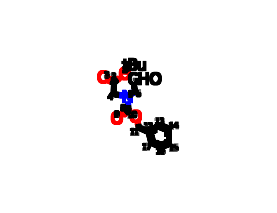 CC(C)(C)OC(=O)CN(CC=O)C(=O)OCc1ccccc1